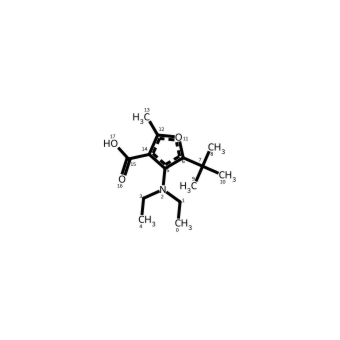 CCN(CC)c1c(C(C)(C)C)oc(C)c1C(=O)O